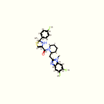 Cn1c(CC2CCCCN2C(=O)C2=CS[C@@](C)(c3ccc(F)cc3)N2)nc2cc(F)c(F)cc21